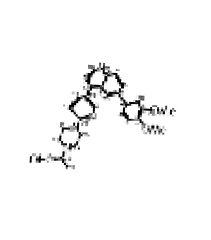 COc1ccc(-c2ccc3ncnc(-c4ccc(N5CCN(C(C)C=O)CC5)nc4)c3c2)cc1OC